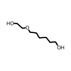 OCCCCCCOCCO